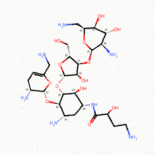 NCCC(O)C(=O)N[C@@H]1C[C@H](N)[C@@H](O[C@H]2OC(CN)=CC[C@H]2N)[C@H](O[C@@H]2O[C@H](CO)[C@@H](O[C@H]3O[C@@H](CN)[C@@H](O)[C@H](O)[C@H]3N)[C@H]2O)[C@H]1O